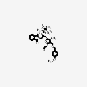 COc1ccc(COCC2[C@H](CC=O)O[C@H](CC(CN3C(=O)c4ccccc4C3=O)O[Si](C)(C)C(C)(C)C)[C@@H]2C)cc1